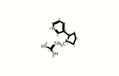 CN1CCCC1c1cccnc1.S=C(S)S